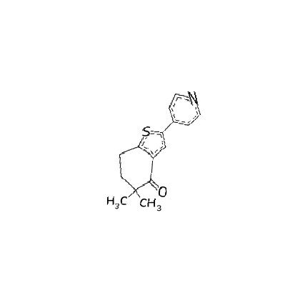 CC1(C)CCc2sc(-c3ccncc3)cc2C1=O